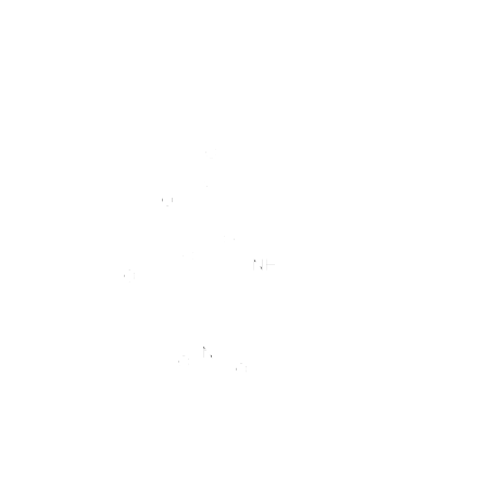 COC(=O)CONC(Cc1ccccc1)C(C1=COCO1)[N+](=O)[O-]